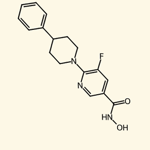 O=C(NO)c1cnc(N2CCC(c3ccccc3)CC2)c(F)c1